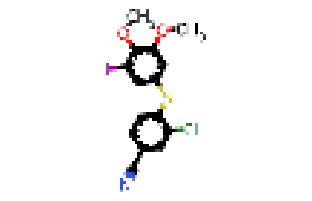 COc1cc(Sc2ccc(C#N)cc2Cl)cc(I)c1OC